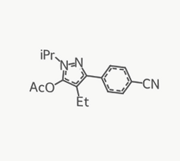 CCc1c(-c2ccc(C#N)cc2)nn(C(C)C)c1OC(C)=O